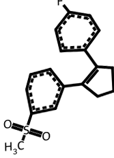 CS(=O)(=O)c1cccc(C2=C(c3ccc(F)cc3)CCC2)c1